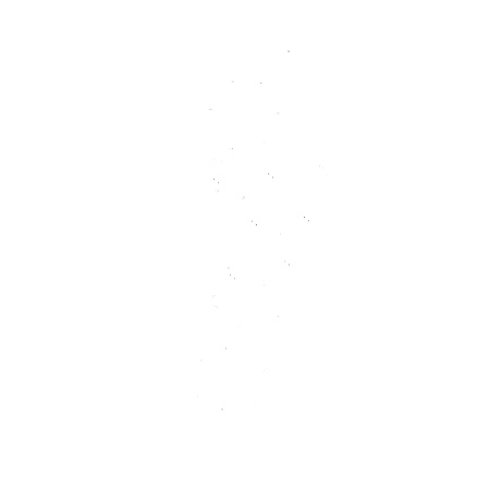 Nc1nc(Nc2cc(-c3ccc(F)cc3)[nH]n2)nc(N2CCCC2c2ccc(F)cc2)n1